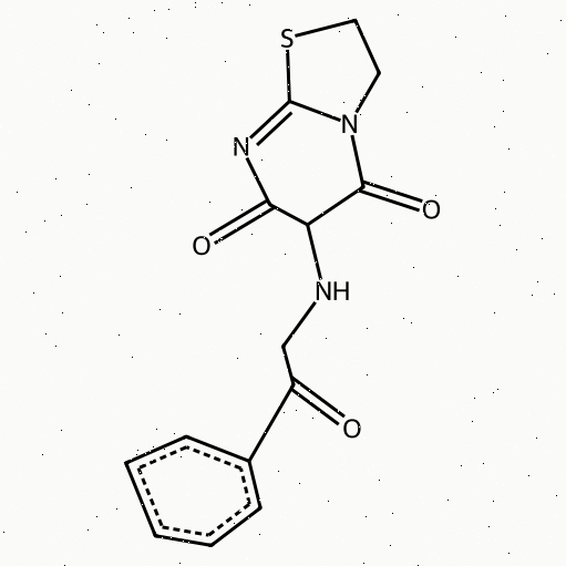 O=C(CNC1C(=O)N=C2SCCN2C1=O)c1ccccc1